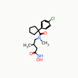 CC(CC(=O)NO)CN(C)C(=O)C1(c2ccc(Cl)cc2)CCCC1